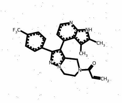 C=CC(=O)N1CCn2nc(-c3ccc(C(F)(F)F)cc3)c(-c3ccnc4[nH]c(C)c(C)c34)c2C1